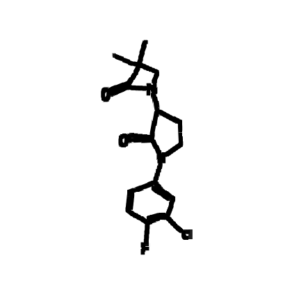 CC1(C)CN(C2CCN(c3ccc(F)c(Cl)c3)C2=O)C1=O